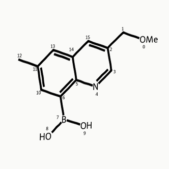 COCc1cnc2c(B(O)O)cc(C)cc2c1